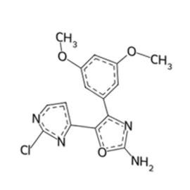 COc1cc(OC)cc(-c2nc(N)oc2-c2ccnc(Cl)n2)c1